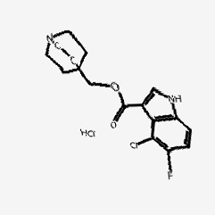 Cl.O=C(OCC12CCN(CC1)CC2)c1c[nH]c2ccc(F)c(Cl)c12